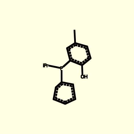 Cc1ccc(O)c(P(c2ccccc2)C(C)C)c1